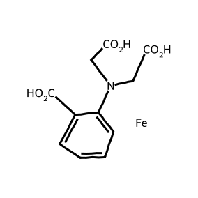 O=C(O)CN(CC(=O)O)c1ccccc1C(=O)O.[Fe]